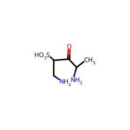 CC(N)C(=O)C(CN)S(=O)(=O)O